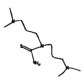 CN(C)CCCN(CCCN(C)C)C(N)=S